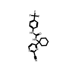 N#Cc1nccc(C2(NC(=O)Nc3ccc(C(F)(F)F)cc3)CCCCC2)n1